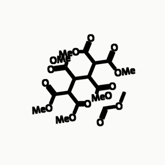 COC(=O)C(C(=O)OC)C(C(=O)OC)C(C(=O)OC)C(C(=O)OC)C(=O)OC.COC=O